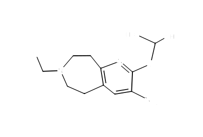 CCN1CCc2cc(N)c(OC(C)C)nc2CC1